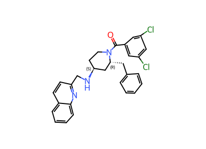 O=C(c1cc(Cl)cc(Cl)c1)N1CC[C@H](NCc2ccc3ccccc3n2)C[C@H]1Cc1ccccc1